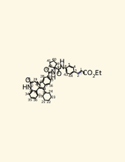 CCOC(=O)/C=C/c1ccc(NC(=O)C2(NC(=O)c3ccc4c(C5CCCCC5)c5n(c4c3)CC(=O)Nc3ccccc3-5)CCCC2)cc1